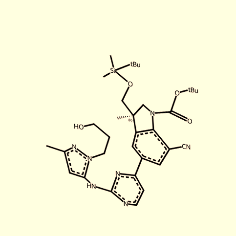 Cc1cc(Nc2nccc(-c3cc(C#N)c4c(c3)[C@@](C)(CO[Si](C)(C)C(C)(C)C)CN4C(=O)OC(C)(C)C)n2)n(CCCO)n1